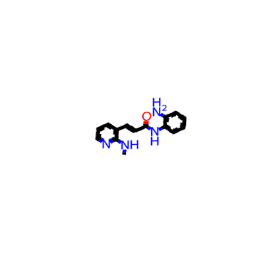 CNc1ncccc1/C=C/C(=O)Nc1ccccc1N